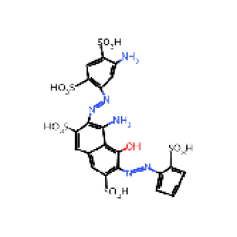 Nc1cc(N=Nc2c(S(=O)(=O)O)cc3cc(S(=O)(=O)O)c(N=Nc4ccccc4S(=O)(=O)O)c(O)c3c2N)c(S(=O)(=O)O)cc1S(=O)(=O)O